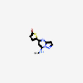 CC(C)(C)Nc1cc(-c2ccc(Br)s2)nc2ccnn12